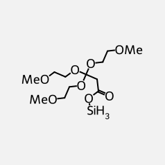 COCCOC(CC(=O)O[SiH3])(OCCOC)OCCOC